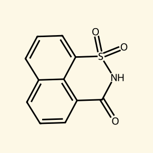 O=C1NS(=O)(=O)c2cccc3cccc1c23